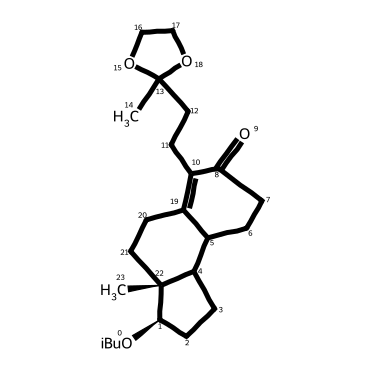 CC(C)CO[C@@H]1CCC2C3CCC(=O)C(CCC4(C)OCCO4)=C3CC[C@]21C